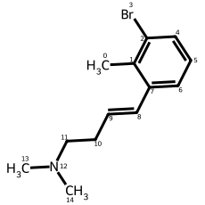 Cc1c(Br)cccc1/C=C/CCN(C)C